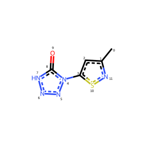 Cc1cc(-n2nn[nH]c2=O)sn1